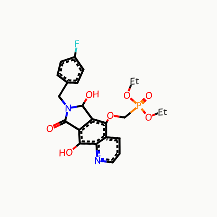 CCOP(=O)(COc1c2c(c(O)c3ncccc13)C(=O)N(Cc1ccc(F)cc1)C2O)OCC